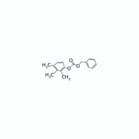 Cc1ccc(OC(=O)OCc2ccccc2)c(C)c1C